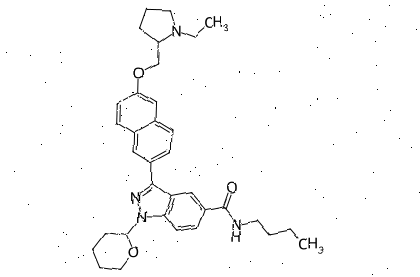 CCCCNC(=O)c1ccc2c(c1)c(-c1ccc3cc(OCC4CCCN4CC)ccc3c1)nn2C1CCCCO1